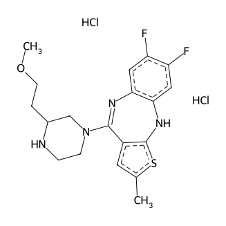 COCCC1CN(C2=Nc3cc(F)c(F)cc3Nc3sc(C)cc32)CCN1.Cl.Cl